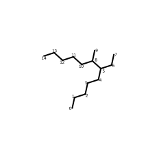 CCCCC[C](CC)C(C)CCCCC